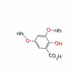 CCCOc1cc(OCCC)c(O)c(C(=O)O)c1